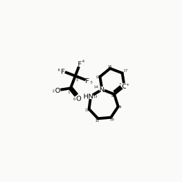 O=C([O-])C(F)(F)F.[C+]1=C2CCCCNN2CCC1